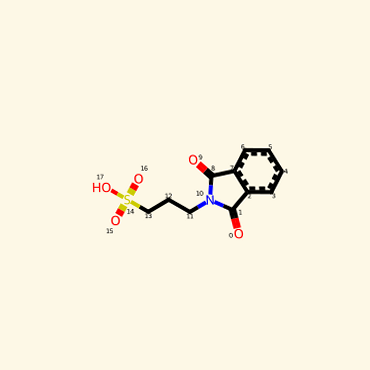 O=C1c2ccccc2C(=O)N1CCCS(=O)(=O)O